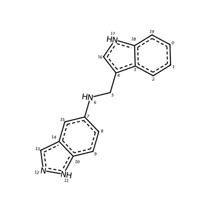 c1ccc2c(CNc3ccc4[nH]ncc4c3)c[nH]c2c1